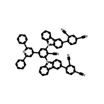 N#Cc1ccc(-c2ccc3c(c2)c2ccccc2n3-c2cc(-c3cc(-c4ccccc4)nc(-c4ccccc4)c3)cc(-n3c4ccccc4c4cc(-c5ccc(C#N)cc5C#N)ccc43)c2C#N)c(C#N)c1